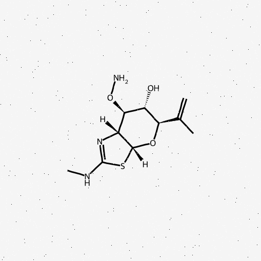 C=C(C)[C@H]1O[C@@H]2SC(NC)=N[C@@H]2[C@@H](ON)[C@@H]1O